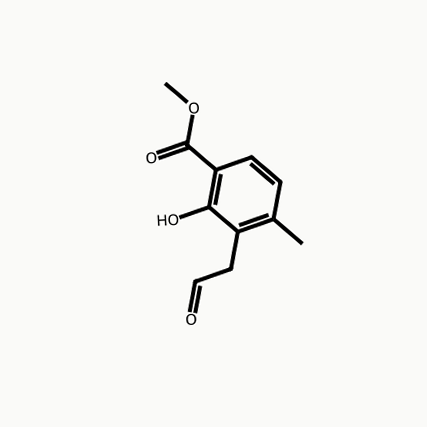 COC(=O)c1ccc(C)c(CC=O)c1O